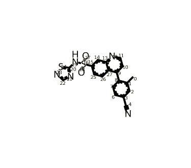 Cc1cc(C#N)ccc1-c1ccnc2cc(S(=O)(=O)Nc3ncns3)ccc12